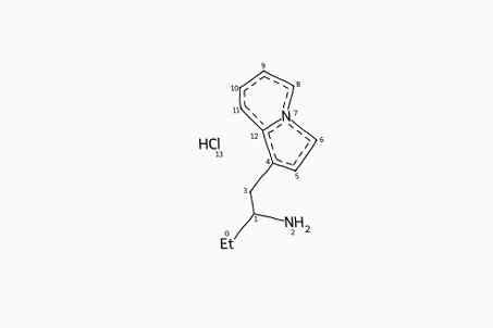 CCC(N)Cc1ccn2ccccc12.Cl